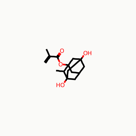 C=C(C)C(=O)OC12CC3CC(O)(CC(O)(C3)C1C)C2